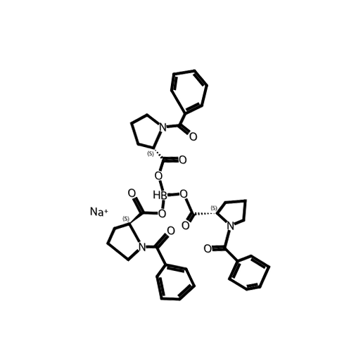 O=C(O[BH-](OC(=O)[C@@H]1CCCN1C(=O)c1ccccc1)OC(=O)[C@@H]1CCCN1C(=O)c1ccccc1)[C@@H]1CCCN1C(=O)c1ccccc1.[Na+]